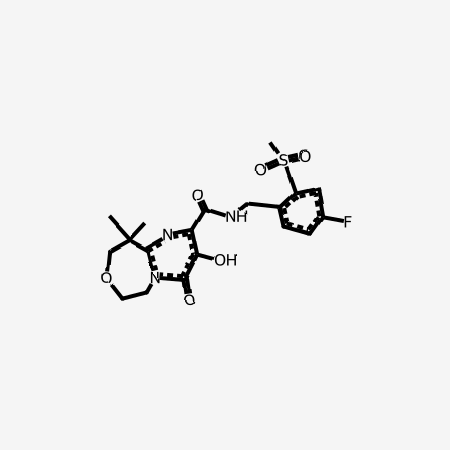 CC1(C)COCCn2c1nc(C(=O)NCc1ccc(F)cc1S(C)(=O)=O)c(O)c2=O